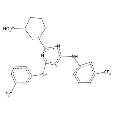 O=C(O)C1CCCN(c2nc(Nc3cccc(C(F)(F)F)c3)nc(Nc3cccc(C(F)(F)F)c3)n2)C1